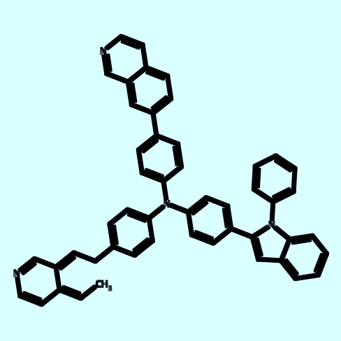 C/C=c1/ccnc/c1=C/Cc1ccc(N(c2ccc(-c3ccc4ccncc4c3)cc2)c2ccc(-c3cc4ccccc4n3-c3ccccc3)cc2)cc1